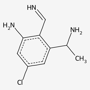 CC(N)c1cc(Cl)cc(N)c1C=N